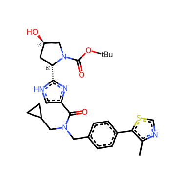 Cc1ncsc1-c1ccc(CN(CC2CC2)C(=O)c2c[nH]c([C@@H]3C[C@@H](O)CN3C(=O)OC(C)(C)C)n2)cc1